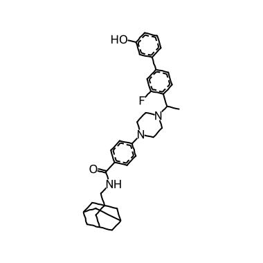 CC(c1ccc(-c2cccc(O)c2)cc1F)N1CCN(c2ccc(C(=O)NCC34CC5CC(CC(C5)C3)C4)cc2)CC1